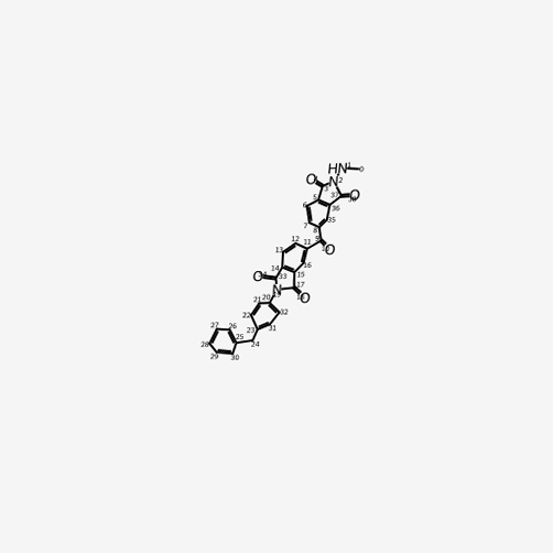 CNN1C(=O)c2ccc(C(=O)c3ccc4c(c3)C(=O)N(c3ccc(Cc5ccccc5)cc3)C4=O)cc2C1=O